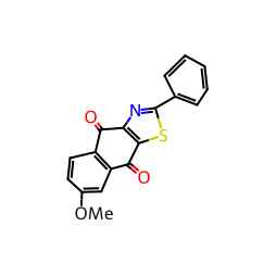 COc1ccc2c(c1)C(=O)c1sc(-c3ccccc3)nc1C2=O